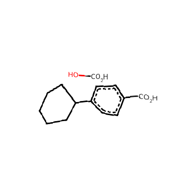 O=C(O)O.O=C(O)c1ccc(C2CCCCC2)cc1